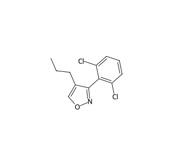 CCCc1conc1-c1c(Cl)cccc1Cl